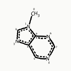 Cn1[c]nc2cncnc21